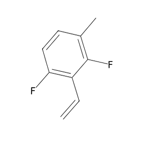 C=Cc1c(F)ccc(C)c1F